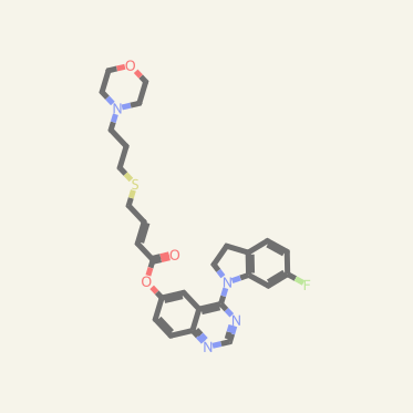 O=C(C=CCSCCCN1CCOCC1)Oc1ccc2ncnc(N3CCc4ccc(F)cc43)c2c1